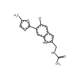 CC(=O)NCc1cc2cc(Cl)c(-c3ncc(C)o3)cc2[nH]1